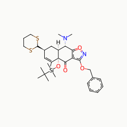 CC1=C[C@@H](C2SCCCS2)C[C@H]2[C@H](N(C)C)c3onc(OCc4ccccc4)c3C(=O)[C@@]12O[Si](C)(C)C(C)(C)C